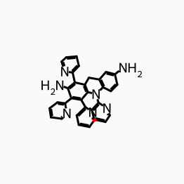 Nc1ccc2c(c1)Cc1c(-c3ccccn3)c(N)c(-c3ccccn3)c(-c3ccccn3)c1N2c1ccccn1